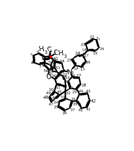 CC1(C)c2ccccc2-c2ccc(N(c3ccc(-c4ccccc4)cc3)c3ccc4c(c3)C3(c5ccccc5-c5ccccc5-4)c4ccccc4-c4c3ccc3c4oc4ccccc43)cc21